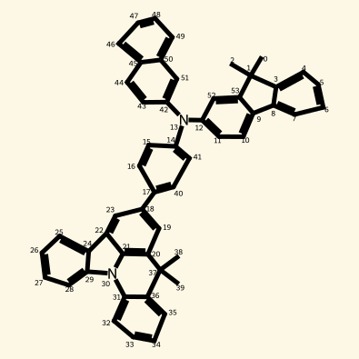 CC1(C)c2ccccc2-c2ccc(N(c3ccc(-c4cc5c6c(c4)c4ccccc4n6-c4ccccc4C5(C)C)cc3)c3ccc4ccccc4c3)cc21